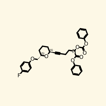 O=C(Oc1ccccc1)ON(CCC#C[C@@H]1CCC[C@@H](COc2ccc(F)cc2)O1)C(=O)Oc1ccccc1